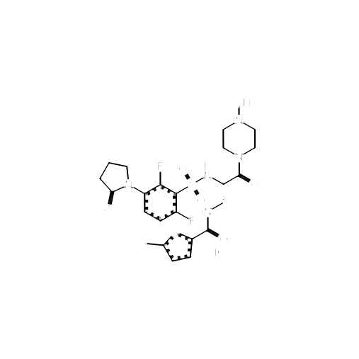 CN1CCN(C(=O)[C@H](CNC(=O)c2ccc(Cl)s2)NS(=O)(=O)c2c(F)ccc(N3CCCC3=O)c2F)CC1.Cl